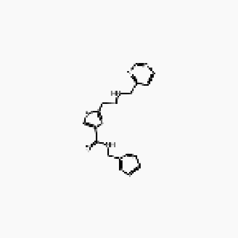 O=C(NCc1ccccc1)c1csc(CCNCc2ccncn2)n1